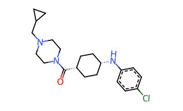 O=C([C@H]1CC[C@@H](Nc2ccc(Cl)cc2)CC1)N1CCN(CC2CC2)CC1